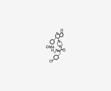 COc1cccc(-c2cnc3[nH]ccc3c2N2CCN(C(=O)[C@H](N)Cc3ccc(Cl)cc3)CC2)c1